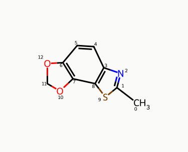 Cc1nc2ccc3c(c2s1)OCO3